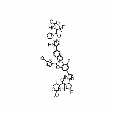 COC(=O)NC(C(=O)N1CCC[C@H]1c1ncc(-c2ccc3c(c2)cc2n3C(c3ccc(C4CC4)s3)Oc3cc(-c4cnc([C@@H]5C[C@@H](F)CN5C(=O)[C@@H](NC(=O)OC)C(C)C)[nH]4)cc(F)c3-2)[nH]1)C(C)(C)F